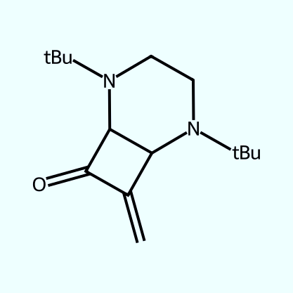 C=C1C(=O)C2C1N(C(C)(C)C)CCN2C(C)(C)C